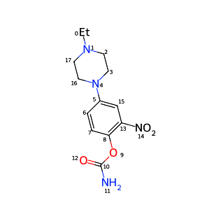 CCN1CCN(c2ccc(OC(N)=O)c([N+](=O)[O-])c2)CC1